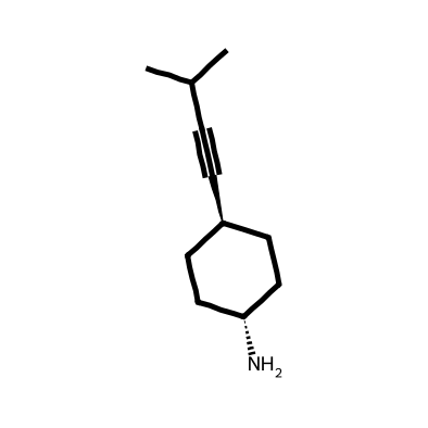 CC(C)C#C[C@H]1CC[C@H](N)CC1